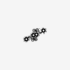 O=[N+]([O-])c1c(SCc2ccccc2)ccc2c([N+](=O)[O-])c(SCc3ccccc3)ccc12